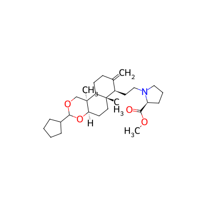 C=C1CCC2[C@]3(C)COC(C4CCCC4)O[C@@H]3CC[C@@]2(C)[C@@H]1CCN1CCC[C@H]1C(=O)OC